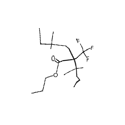 CCCOC(=O)C(CC(C)(C)CC)(C(F)(F)F)C(C)(C)CC